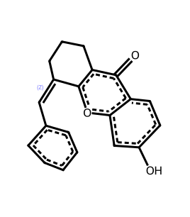 O=c1c2c(oc3cc(O)ccc13)/C(=C\c1ccccc1)CCC2